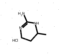 CC1CCN=C(N)N1.Cl